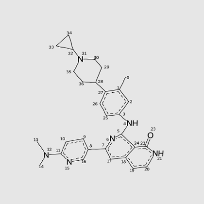 Cc1cc(Nc2nc(-c3ccc(N(C)C)nc3)cc3cc[nH]c(=O)c23)ccc1C1CCN(C2CC2)CC1